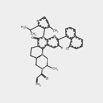 C=CC(=O)N1CC2CCc3c(c4cc(F)c(-c5cccc6cccc(Cl)c56)nc4n(-c4c(C)ccnc4C(C)C)c3=O)N2CC1C